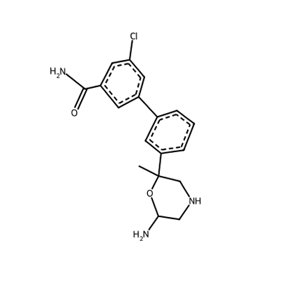 CC1(c2cccc(-c3cc(Cl)cc(C(N)=O)c3)c2)CNCC(N)O1